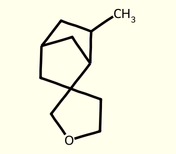 CC1CC2CC1C1(CCOC1)C2